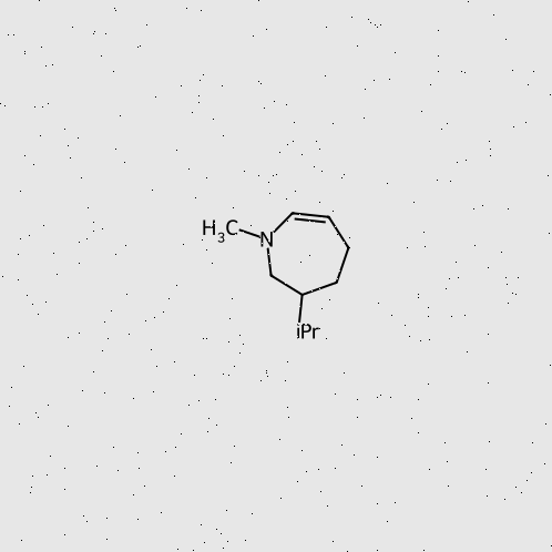 CC(C)C1CCC=CN(C)C1